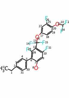 CCc1ccc(-c2c([O])cc(F)c(C(F)(F)Oc3ccc(OC(F)F)c(F)c3)c2F)cc1